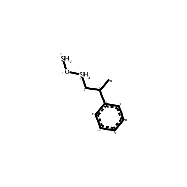 CC(C[SiH2]O[SiH3])c1ccccc1